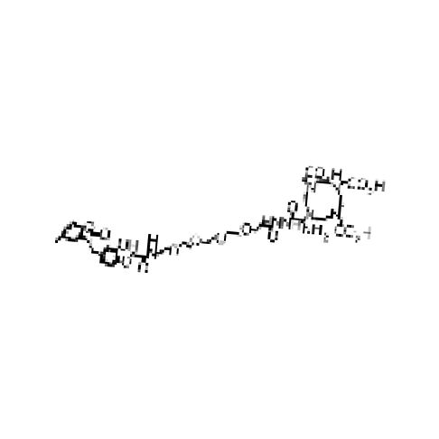 Cc1ccc2oc(=O)n(Cc3ccc(OCC(=O)NCCOCCOCCOCCOCCC(=O)NNC(=O)C(N)N4CCN(CC(=O)O)CCN(CC(=O)O)CCN(CC(=O)O)CC4)c(O)c3)c2c1